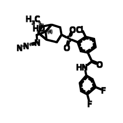 C[C@H]1CC2CC(S(=O)(=O)c3cc(C(=O)Nc4ccc(F)c(F)c4)ccc3Cl)CC1[C@@]2(O)CN=[N+]=[N-]